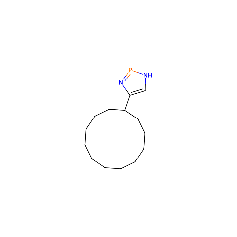 c1[nH]pnc1C1CCCCCCCCCCC1